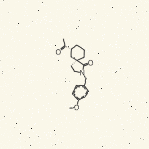 COc1ccc(CN2CC[C@]3(CCC[C@@H](C(C)=O)C3)C2=O)cc1